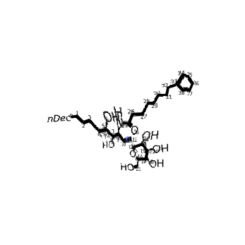 CCCCCCCCCCCCCC[C@@H](O)[C@@H](O)[C@H](/C=C/[C@H]1O[C@H](CO)[C@H](O)[C@H](O)[C@H]1O)NC(=O)CCCCCCCc1ccccc1